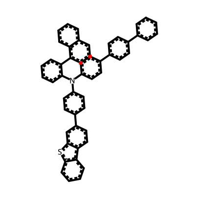 c1ccc(-c2ccc(-c3ccc(N(c4ccc(-c5ccc6c(c5)sc5ccccc56)cc4)c4ccccc4-c4cccc5ccccc45)cc3)cc2)cc1